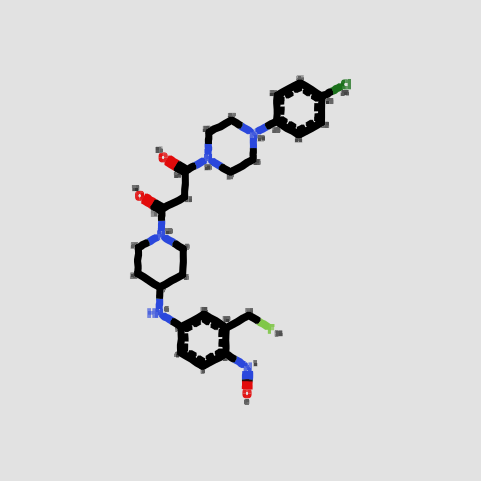 O=Nc1ccc(NC2CCN(C(=O)CC(=O)N3CCN(c4ccc(Cl)cc4)CC3)CC2)cc1CF